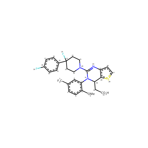 COc1ccc(C(F)(F)F)cc1N1C(N2CCC(F)(c3ccc(F)cc3)CC2)=Nc2ccsc2C1CC(=O)O